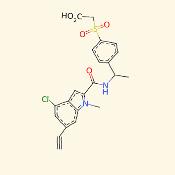 C#Cc1cc(Cl)c2cc(C(=O)NC(C)c3ccc(S(=O)(=O)CC(=O)O)cc3)n(C)c2c1